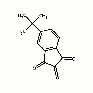 CC(C)(C)c1ccc2c(=O)c(=O)c(=O)c2c1